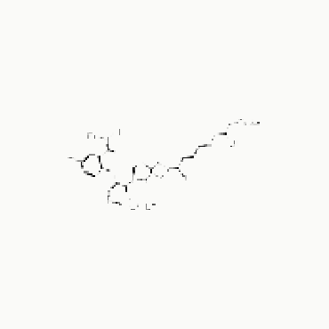 CCN(C(=O)c1cc(F)ccc1Oc1nncnc1N1CCC2(C1)CN(C(CCCNCC(O)COC)C(C)C)C2)C(C)C.O=CO